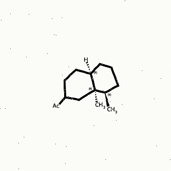 CC(=O)C1CC[C@H]2CCC[C@@H](C)[C@@]2(C)C1